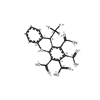 O=C(O)c1c2c(c(C(=O)O)c(C(=O)O)c1C(=O)O)C(C(F)(F)F)c1ccccc1O2